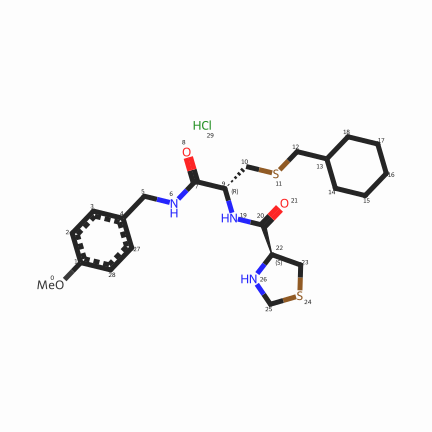 COc1ccc(CNC(=O)[C@H](CSCC2CCCCC2)NC(=O)[C@H]2CSCN2)cc1.Cl